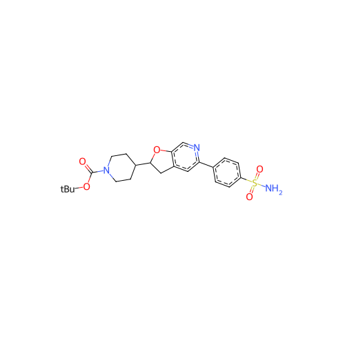 CC(C)(C)OC(=O)N1CCC(C2Cc3cc(-c4ccc(S(N)(=O)=O)cc4)ncc3O2)CC1